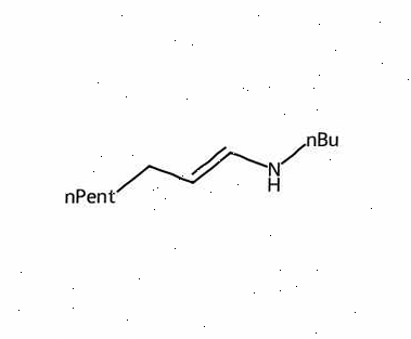 CCCCCCC=CNCCCC